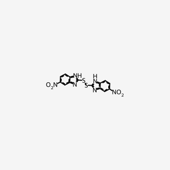 O=[N+]([O-])c1ccc2[nH]c(SSc3nc4cc([N+](=O)[O-])ccc4[nH]3)nc2c1